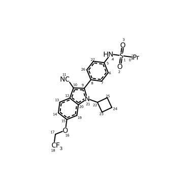 CC(C)S(=O)(=O)Nc1ccc(-c2c(C#N)c3ccc(OCC(F)(F)F)cc3n2C2CCC2)cc1